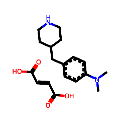 CN(C)c1ccc(CC2CCNCC2)cc1.O=C(O)C=CC(=O)O